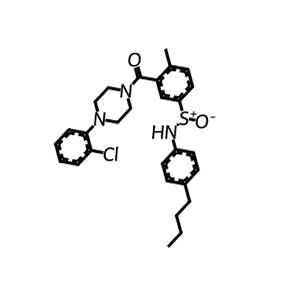 CCCCc1ccc(N[S+]([O-])c2ccc(C)c(C(=O)N3CCN(c4ccccc4Cl)CC3)c2)cc1